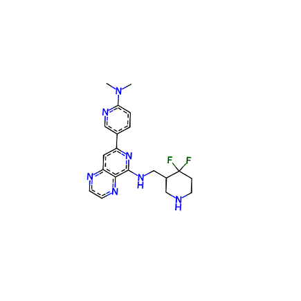 CN(C)c1ccc(-c2cc3nccnc3c(NCC3CNCCC3(F)F)n2)cn1